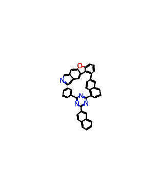 c1ccc(-c2nc(-c3ccc4ccccc4c3)nc(-c3cccc4cc(-c5cccc6oc7cc8cnccc8cc7c56)ccc34)n2)cc1